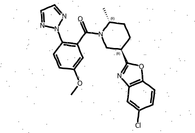 COc1ccc(-n2nccn2)c(C(=O)N2C[C@H](c3nc4cc(Cl)ccc4o3)CC[C@H]2C)c1